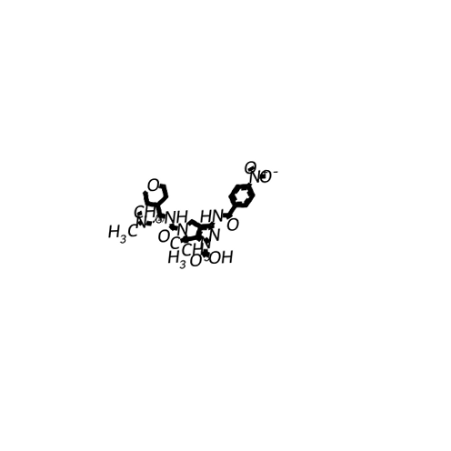 CN(C)C[C@@H](NC(=O)N1Cc2c(NC(=O)c3ccc([N+](=O)[O-])cc3)nn(C(=O)O)c2C1(C)C)C1CCOCC1